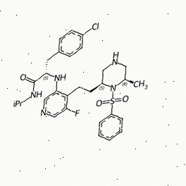 CC(C)NC(=O)[C@H](Cc1ccc(Cl)cc1)Nc1cncc(F)c1CC[C@H]1CNC[C@@H](C)N1S(=O)(=O)c1ccccc1